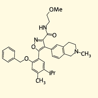 COCCNC(=O)c1noc(-c2cc(C(C)C)c(C)cc2OCc2ccccc2)c1-c1ccc2c(c1)CCN(C)C2